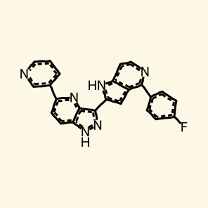 Fc1ccc(-c2nccc3[nH]c(-c4n[nH]c5ccc(-c6cccnc6)nc45)cc23)cc1